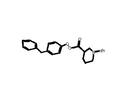 CCCN1CCCC(C(=O)OOc2ccc(Cc3ccccc3)cc2)C1